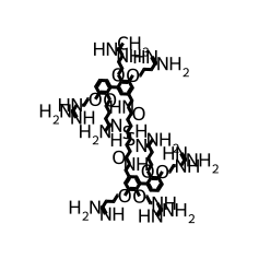 CC(=N)NCCOc1c(OCCCC(=N)N)cc(CNC(=O)CCSSCCC(=O)NCc2cc(OCCCC(=N)N)c(OCCNC(=N)N)c(-c3cccc(OCCNC(=N)N)c3OCCCC(=N)N)c2)cc1-c1cccc(OCCNC(=N)N)c1OCCCC(=N)N